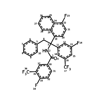 O=C(NC(Cc1ccccc1)(c1cc(F)cc(C(F)(F)F)c1)c1ccc(F)c2ccccc12)c1ccc(F)c(C(F)(F)F)c1